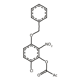 CC(=O)C(=O)Oc1c(Cl)ccc(OCc2ccccc2)c1[N+](=O)[O-]